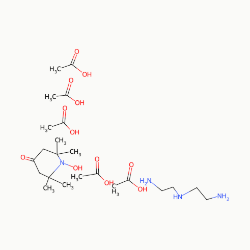 CC(=O)O.CC(=O)O.CC(=O)O.CC(=O)O.CC(=O)O.CC1(C)CC(=O)CC(C)(C)N1O.NCCNCCN